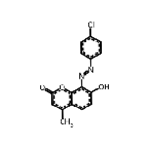 Cc1cc(=O)oc2c(/N=N/c3ccc(Cl)cc3)c(O)ccc12